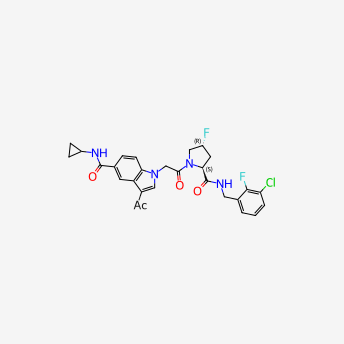 CC(=O)c1cn(CC(=O)N2C[C@H](F)C[C@H]2C(=O)NCc2cccc(Cl)c2F)c2ccc(C(=O)NC3CC3)cc12